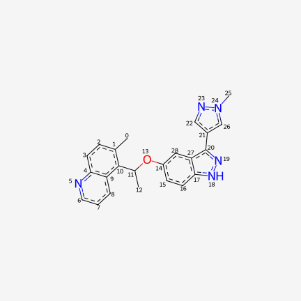 Cc1ccc2ncccc2c1C(C)Oc1ccc2[nH]nc(-c3cnn(C)c3)c2c1